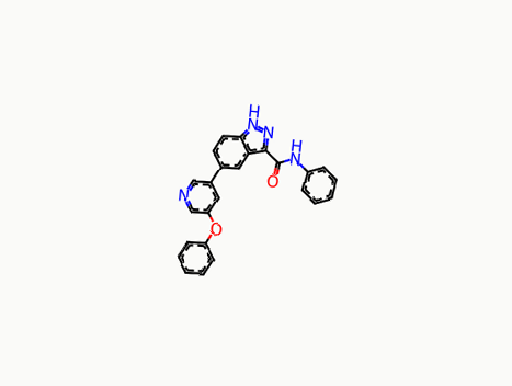 O=C(Nc1ccccc1)c1n[nH]c2ccc(-c3cncc(Oc4ccccc4)c3)cc12